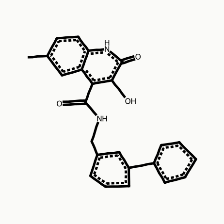 Cc1ccc2[nH]c(=O)c(O)c(C(=O)NCc3cccc(-c4ccccc4)c3)c2c1